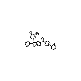 CC(C)n1nc(-c2c(-c3ccccc3)nn3ccc(C(=O)N4CCN(c5ccccn5)CC4)cc23)ccc1=O